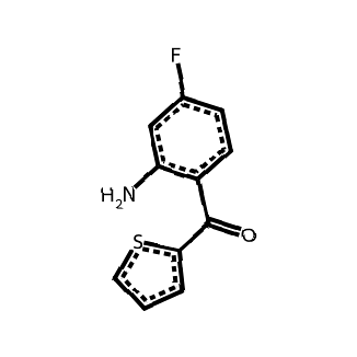 Nc1cc(F)ccc1C(=O)c1cccs1